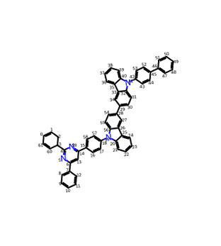 C1=CCC(c2nc(-c3ccccc3)cc(-c3ccc(-n4c5ccccc5c5cc(-c6ccc7c(c6)c6ccccc6n7-c6ccc(-c7ccccc7)cc6)ccc54)cc3)n2)C=C1